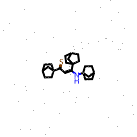 S=C(C=C(NC12CCC(CC1)C2)C12CCC(CC1)C2)C12CCC(CC1)C2